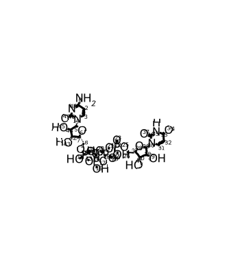 Nc1ccn([C@@H]2O[C@H](COP(=O)(O)OP(=O)(O)OP(=O)(O)OP(=O)(O)OC[C@H]3O[C@@H](n4ccc(=O)[nH]c4=O)C(O)[C@H]3O)[C@H](O)C2O)c(=O)n1